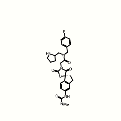 CNC(=O)Nc1ccc2c(c1)CC[C@@]21OC(=O)N(CC(=O)N(Cc2ccc(F)cc2)CC2CCCN2)C1=O